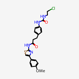 COc1ccc(-c2csc(NC(=O)CCc3ccc(NC(=O)NCCCl)cc3)n2)cc1